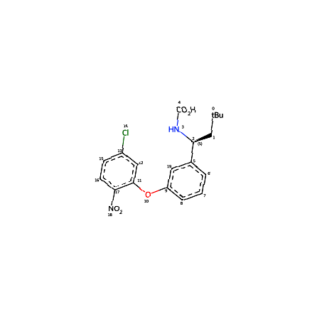 CC(C)(C)C[C@H](NC(=O)O)c1cccc(Oc2cc(Cl)ccc2[N+](=O)[O-])c1